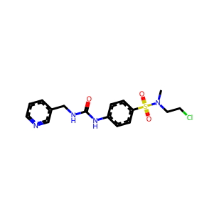 CN(CCCl)S(=O)(=O)c1ccc(NC(=O)NCc2cccnc2)cc1